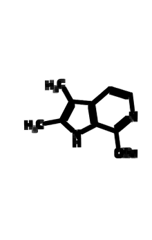 Cc1[nH]c2c(OCC(C)C)nccc2c1C